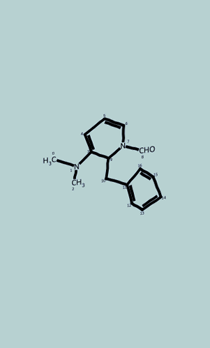 CN(C)C1=CC=CN(C=O)C1Cc1ccccc1